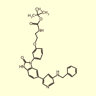 CC(C)(C)OC(=O)NCCOc1cccc(-n2c(=O)[nH]c3ccc(-c4cncc(NCc5ccccc5)c4)cc32)c1